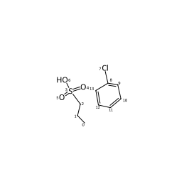 CCCS(=O)(=O)O.Clc1ccccc1